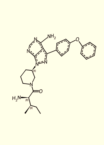 CC[C@@H](C)[C@@H](N)C(=O)N1CCC[C@@H](n2nc(-c3ccc(Oc4ccccc4)cc3)c3c(N)ncnc32)C1